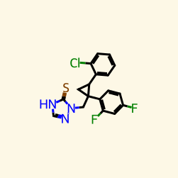 Fc1ccc(C2(Cn3nc[nH]c3=S)CC2c2ccccc2Cl)c(F)c1